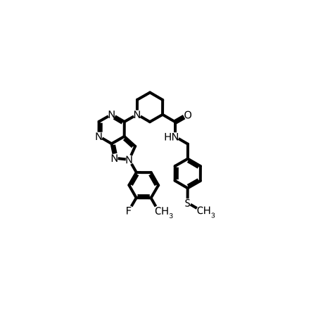 CSc1ccc(CNC(=O)C2CCCN(c3ncnc4nn(-c5ccc(C)c(F)c5)cc34)C2)cc1